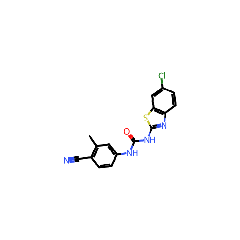 Cc1cc(NC(=O)Nc2nc3ccc(Cl)cc3s2)ccc1C#N